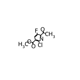 COC(=O)c1cc(F)c(C(C)=O)nc1Cl